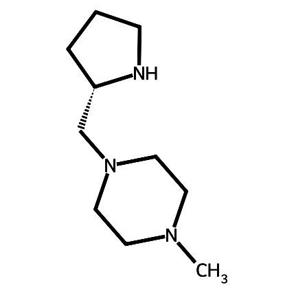 CN1CCN(C[C@@H]2CCCN2)CC1